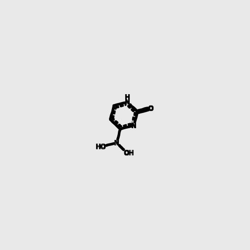 O=c1nc(N(O)O)cc[nH]1